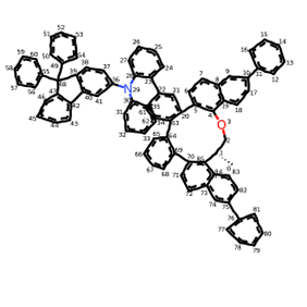 C[C@H]1COc2c(ccc3cc(-c4ccccc4)ccc23)-c2cc(-c3ccccc3N(c3ccccc3)c3ccc4c(c3)-c3ccccc3C4(c3ccccc3)c3ccccc3)ccc2-c2ccccc2-c2ccc3cc(-c4ccccc4)ccc3c21